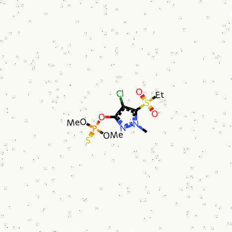 CCS(=O)(=O)c1c(Cl)c(OP(=S)(OC)OC)nn1C